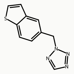 c1nnn(Cc2ccc3sccc3c2)n1